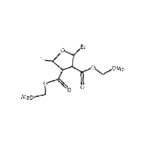 CCC1OC(CC)C(C(=O)OCOC)C1C(=O)OCOC